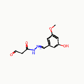 COc1cc(O)cc(/C=N/NC(=O)CC=O)c1